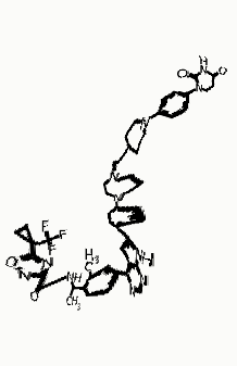 Cc1cc(-c2ncnc3[nH]c(-c4ccc(N5CCN(CC6CCN(c7ccc(N8CCC(=O)NC8=O)cc7)CC6)CC5)cc4)cc23)ccc1C(C)NC(=O)c1noc(C2(C(F)(F)F)CC2)n1